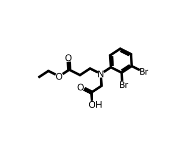 CCOC(=O)CCN(CC(=O)O)c1cccc(Br)c1Br